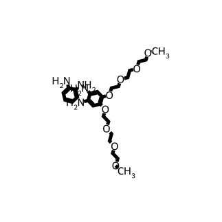 COCCOCCOCCOc1cc(N)c(N)cc1OCCOCCOCCOC.Nc1ccccc1N